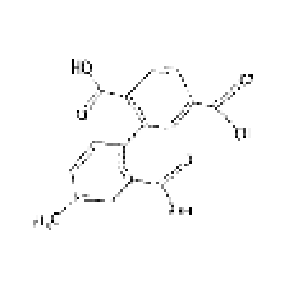 Cc1ccc(-c2cc(C(=O)O)ccc2C(=O)O)c(C(=O)O)c1